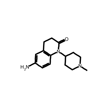 CN1CCC(N2C(=O)CCc3cc(N)ccc32)CC1